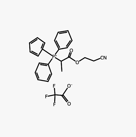 CC(C(=O)OCCC#N)[P+](c1ccccc1)(c1ccccc1)c1ccccc1.O=C([O-])C(F)(F)F